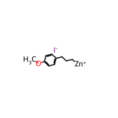 COc1ccc(CC[CH2][Zn+])cc1.[I-]